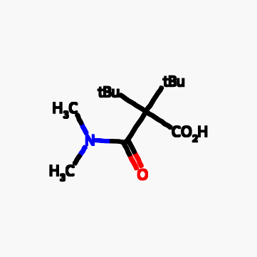 CN(C)C(=O)C(C(=O)O)(C(C)(C)C)C(C)(C)C